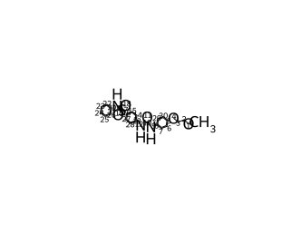 COCCOc1ccc(NC(=O)Nc2ccc(S(=O)(=O)Nc3ccccc3)cc2)cc1